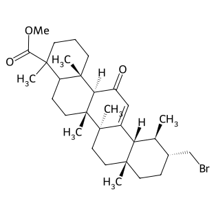 COC(=O)C1(C)CCC[C@@]2(C)C1CC[C@]1(C)[C@@H]2C(=O)C=C2[C@@H]3[C@@H](C)[C@H](CBr)CC[C@]3(C)CC[C@]21C